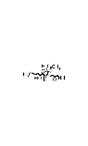 CCCC[C@H](O)C(=O)N[C@@H](CCC(=O)C=N)C(=O)OC(C)C